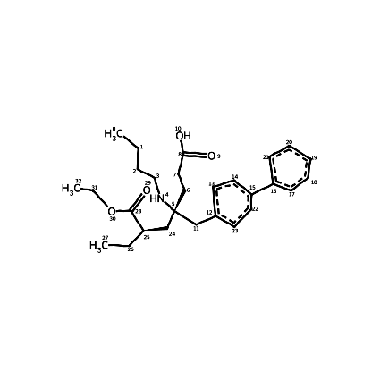 CCCCN[C@](CCC(=O)O)(Cc1ccc(-c2ccccc2)cc1)C[C@@H](CC)C(=O)OCC